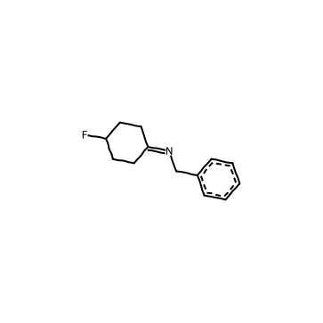 FC1CCC(=NCc2ccccc2)CC1